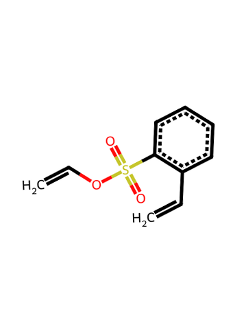 C=COS(=O)(=O)c1ccccc1C=C